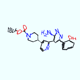 CC(C)(C)OC(=O)N1CCC(c2ccnc(-c3cc(-c4ccccc4O)nnc3N)c2)CC1